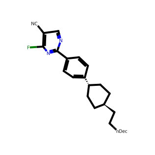 CCCCCCCCCCCC[C@H]1CC[C@H](c2ccc(-c3ncc(C#N)c(F)n3)cc2)CC1